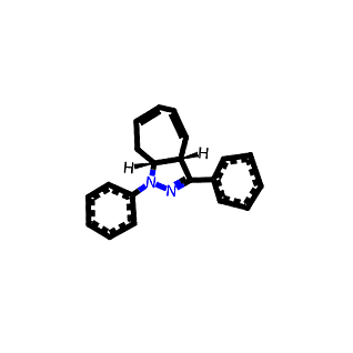 C1=CC[C@@H]2[C@H](C=C1)C(c1ccccc1)=NN2c1ccccc1